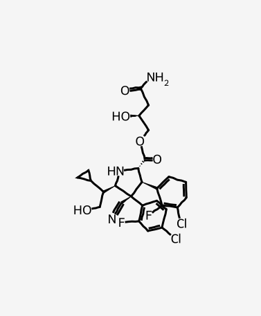 N#C[C@@]1(c2ccc(Cl)cc2F)[C@@H](C(CO)C2CC2)N[C@H](C(=O)OC[C@@H](O)CC(N)=O)[C@H]1c1cccc(Cl)c1F